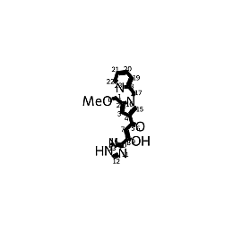 COCc1cc(C(=O)C=C(O)c2nc[nH]n2)cn1Cc1ccccn1